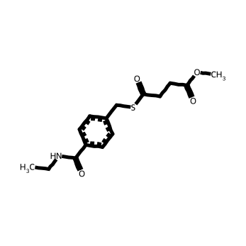 CCNC(=O)c1ccc(CSC(=O)CCC(=O)OC)cc1